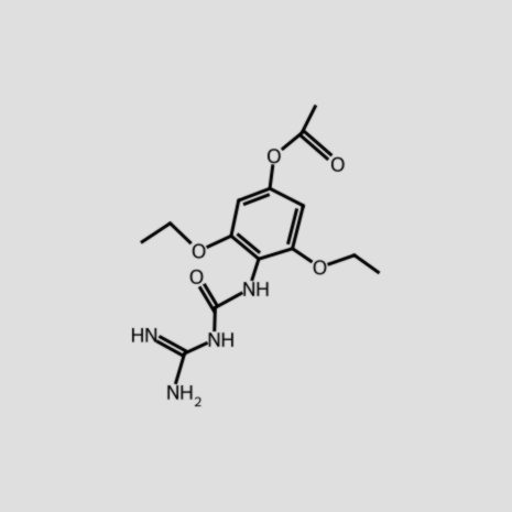 CCOc1cc(OC(C)=O)cc(OCC)c1NC(=O)NC(=N)N